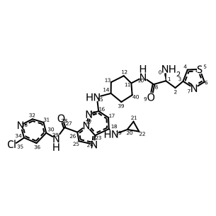 N[C@@H](Cc1cscn1)C(=O)NC1CCC(Nc2cc(NC3CC3)c3ncc(C(=O)Nc4ccnc(Cl)c4)n3n2)CC1